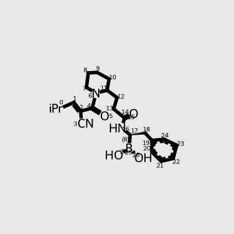 CC(C)C=C(C#N)C(=O)N1CCCCC1CCC(=O)N[C@@H](Cc1ccccc1)B(O)O